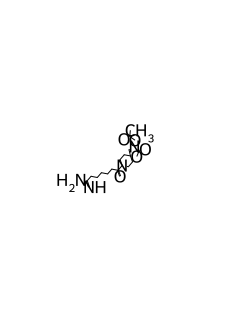 CC(=O)ON1CC2(CCN(C(=O)CCCCCC(=N)N)CC2)OC1=O